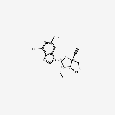 C#C[C@]1(CO)O[C@@H](n2cnc3c(O)nc(N)nc32)[C@@H](CF)[C@@H]1O